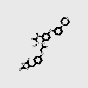 CN(C(=O)OC(C)(C)C)c1cc(Oc2cccc(N3CCOCC3)c2)ccc1NC(=O)COc1ccc(CC2SC(=O)NC2=O)cc1